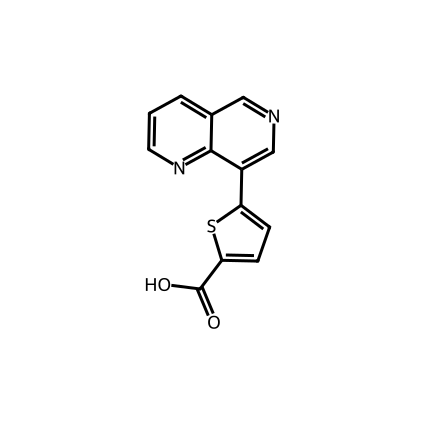 O=C(O)c1ccc(-c2cncc3cccnc23)s1